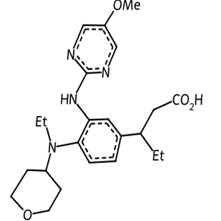 CCC(CC(=O)O)c1ccc(N(CC)C2CCOCC2)c(Nc2ncc(OC)cn2)c1